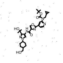 CC(C)(C)OC(=O)N(CC1CC1)c1cc(-c2nc(C(=O)Nc3cn(C4CCC(CO)CC4)nc3C(C)(C)O)co2)ccn1